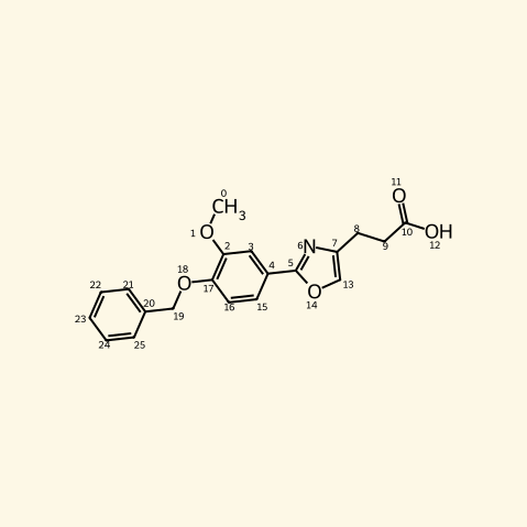 COc1cc(-c2nc(CCC(=O)O)co2)ccc1OCc1ccccc1